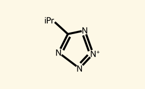 CC(C)C1=NN=[N+]=N1